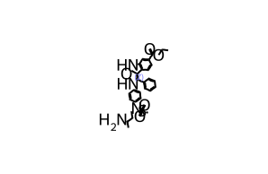 CCOC(=O)c1ccc2c(c1)NC(=O)/C2=C(\Nc1ccc(N(CCC(C)N)S(C)(=O)=O)cc1)c1ccccc1